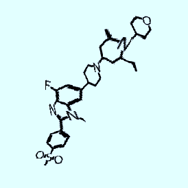 CCC1CC(N2CCC(c3cc(F)c4nc(-c5ccc(S(C)(=O)=O)cc5)n(C)c4c3)CC2)CC(C)N1C1CCOCC1